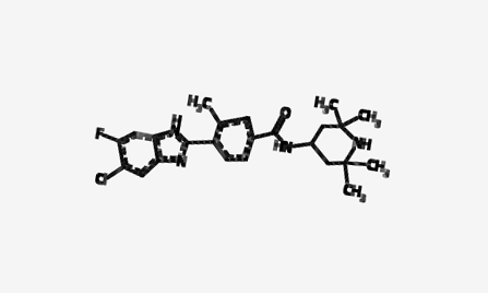 Cc1cc(C(=O)NC2CC(C)(C)NC(C)(C)C2)ccc1-c1nc2cc(Cl)c(F)cc2[nH]1